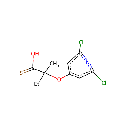 CCC(C)(Oc1cc(Cl)nc(Cl)c1)C(O)=S